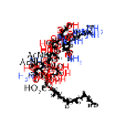 C=C(C/C=C(\C)CCC=C(C)C)CCC(C)(C)/C=C/CC/C(C)=C/CO[C@H](COP(=O)(O)OC1OC(C(N)=O)C(C)(O)C(OC(N)=O)C1C1OC(OC2OC(CO)C(O)C(O)C2O)C(C2OC(C)C(OC3OC(c4nc(C(=O)CCO)nn4-c4ccc(OON)cc4C(=O)N[C@@H](CCCNC(=N)N)C(N)=O)C(O)C(O)C3O)C(O)C2NC(C)=O)OC1NC(C)=O)C(=O)O